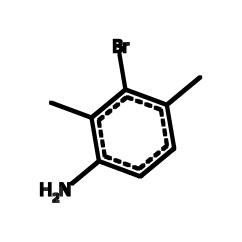 Cc1ccc(N)c(C)c1Br